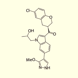 COc1n[nH]cc1-c1ccc2c(C(=O)[C@@H]3COc4ccc(Cl)cc4C3)cn(CC(C)O)c2c1